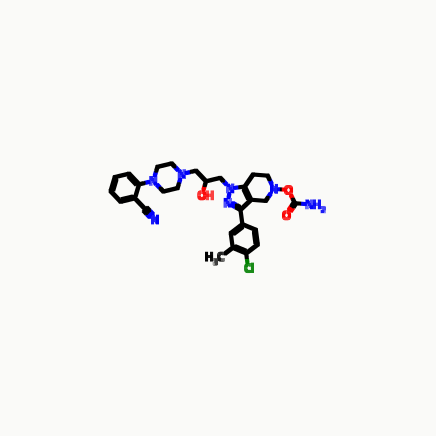 Cc1cc(-c2nn(CC(O)CN3CCN(c4ccccc4C#N)CC3)c3c2CN(OC(N)=O)CC3)ccc1Cl